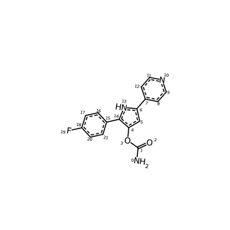 NC(=O)Oc1cc(-c2ccncc2)[nH]c1-c1ccc(F)cc1